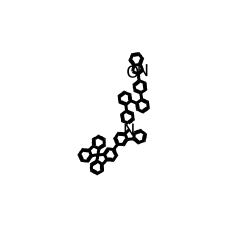 c1ccc(-c2ccccc2-c2ccc(-n3c4ccccc4c4cc(-c5ccc6c(c5)C5(c7ccccc7-c7ccccc75)c5ccccc5-6)ccc43)cc2)c(-c2ccc(-c3nc4ccccc4o3)cc2)c1